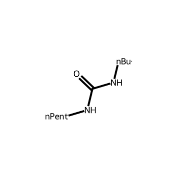 CCC[CH]NC(=O)NCCCCC